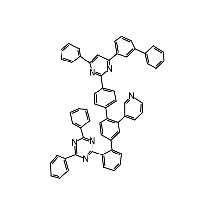 c1ccc(-c2cccc(-c3cc(-c4ccccc4)nc(-c4ccc(-c5ccc(-c6ccccc6-c6nc(-c7ccccc7)nc(-c7ccccc7)n6)cc5-c5cccnc5)cc4)n3)c2)cc1